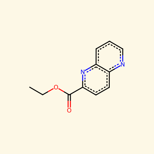 CCOC(=O)c1ccc2ncccc2n1